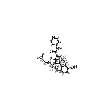 O=C(Nc1ccncc1)C1=C[C@@H]2Oc3c(O)ccc4c3[C@@]23CC12CN(CC1CC1)[C@H](C4)[C@]23O